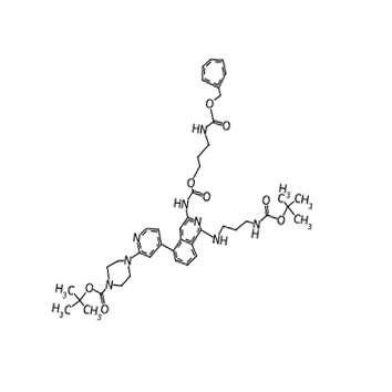 CC(C)(C)OC(=O)NCCCNc1nc(NC(=O)OCCCNC(=O)OCc2ccccc2)cc2c(-c3ccnc(N4CCN(C(=O)OC(C)(C)C)CC4)c3)cccc12